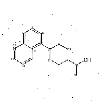 CC(O)C1CCC(c2cccc3ncccc23)CC1